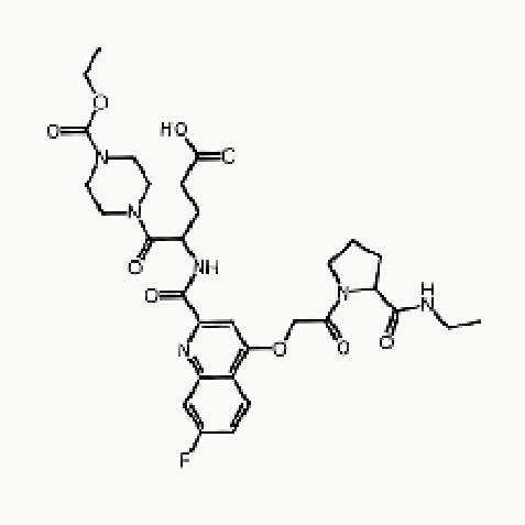 CCNC(=O)C1CCCN1C(=O)COc1cc(C(=O)NC(CCC(=O)O)C(=O)N2CCN(C(=O)OCC)CC2)nc2cc(F)ccc12